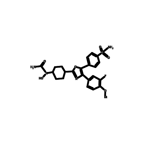 CCOc1ccc(-c2nc(C3CCC(N(O)C(N)=O)CC3)oc2-c2ccc(S(N)(=O)=O)cc2)cc1F